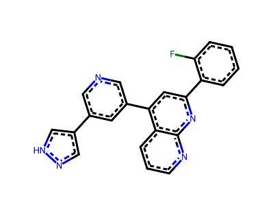 Fc1ccccc1-c1cc(-c2cncc(-c3cn[nH]c3)c2)c2cccnc2n1